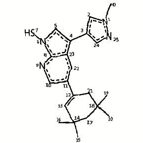 Cn1cc(-c2cn(S)c3ncc(C4=CC(C)(C)CC(C)(C)C4)cc23)cn1